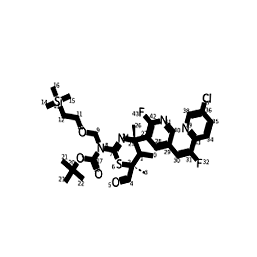 CC1[C@@](C)(C=O)SC(N(COCC[Si](C)(C)C)C(=O)OC(C)(C)C)=N[C@]1(C)c1cc(/C=C(/F)c2ccc(Cl)cn2)cnc1F